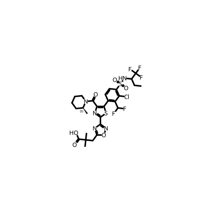 CCC(NS(=O)(=O)c1ccc(-c2sc(-c3noc(CC(C)(C)C(=O)O)n3)nc2C(=O)N2CCCC[C@@H]2C)c(C(F)F)c1Cl)C(F)(F)F